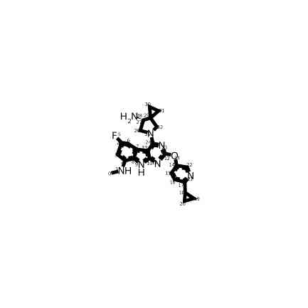 CNc1cc(F)cc2c1[nH]c1nc(Oc3ccc(C4CC4)nc3)nc(N3C[C@H](N)C4(CC4)C3)c12